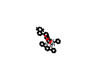 CC1(C)CCC(C)(C)c2c(-c3cccc(-c4cccc(-n5c6ccccc6c6ccc7c8ccccc8n(-c8nc(-c9ccccc9)nc(-c9ccccc9)n8)c7c65)c4)c3)cccc21